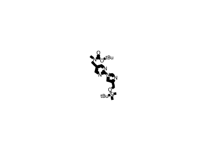 CN(Cc1cnc(-n2cnc(CO[Si](C)(C)C(C)(C)C)c2)nc1)C(=O)OC(C)(C)C